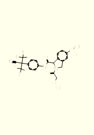 COCC(=O)N1Cc2cc(S(C)(=O)=O)ccc2C1C(=O)Nc1ccc(C(C#N)(C(F)(F)F)C(F)(F)F)cc1